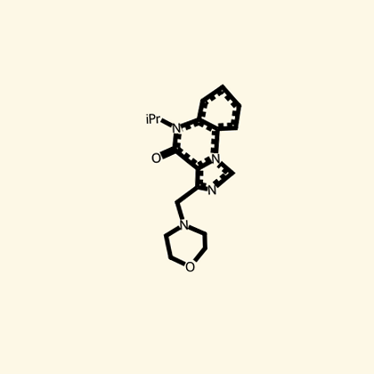 CC(C)n1c(=O)c2c(CN3CCOCC3)ncn2c2ccccc21